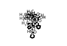 CC[C@@H](C(=O)N[C@H](C(=O)N(C)[C@@H](Cc1ccccc1)C(=O)N[C@@H](CC(C)C)C(=O)N1CCC[C@H]1C(=O)NC(=O)N1CCCCC1)[C@@H](C)O)N(C)C(=O)[C@H](C)N(C)C(=O)[C@H](C)N(C)C(C)=O